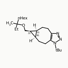 CCCCCCC(C)(CC)OC[C@@H]1[C@@H]2CCc3c(nnn3C(C)(C)C)CC[C@@H]21